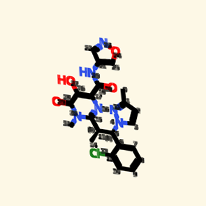 Cc1ccn([C@@H](c2ccccc2Cl)[C@@H](C)c2nc(C(=O)Nc3cnoc3)c(O)c(=O)n2C)n1